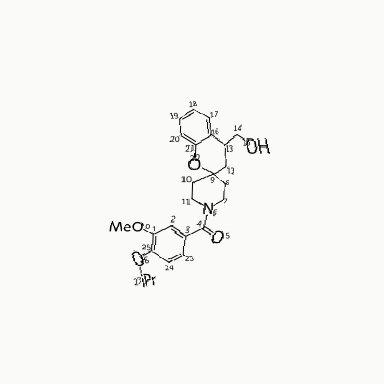 COc1cc(C(=O)N2CCC3(CC2)CC(CO)c2ccccc2O3)ccc1OC(C)C